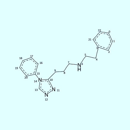 c1ccc(CCNCCCc2nncn2-c2ccccc2)cc1